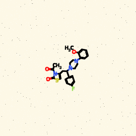 COc1ccccc1N1CCN(C(Cc2csc(=O)n2C(C)=O)c2ccc(F)cc2)CC1